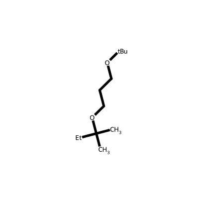 CCC(C)(C)OCCCOC(C)(C)C